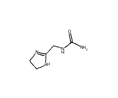 NC(=O)NCC1=N[CH]CN1